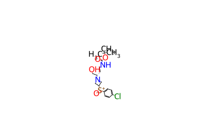 CC(C)(C)OC(=O)NCC[C@@H](CO)N1CC([S+]([O-])c2ccc(Cl)cc2)C1